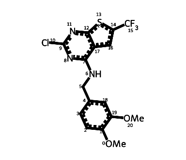 COc1ccc(CNc2nc(Cl)nc3sc(C(F)(F)F)cc23)cc1OC